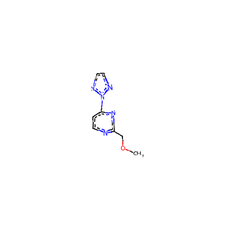 COCc1nccc(-n2nccn2)n1